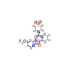 O=C(Nc1cc(C(F)(F)F)ccn1)[C@@H]1CCCCN1C(=O)N1CCS(=O)(=O)CC1